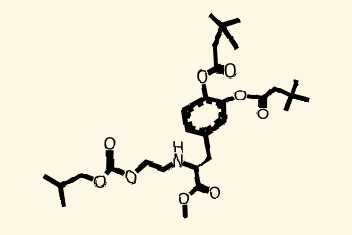 COC(=O)[C@H](Cc1ccc(OC(=O)CC(C)(C)C)c(OC(=O)CC(C)(C)C)c1)NCCOC(=O)OCC(C)C